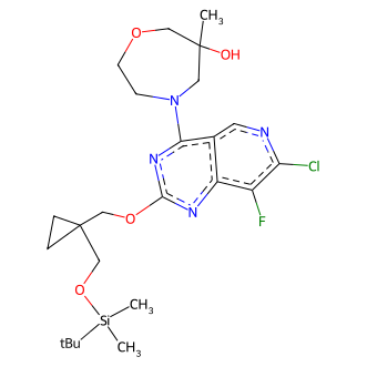 CC1(O)COCCN(c2nc(OCC3(CO[Si](C)(C)C(C)(C)C)CC3)nc3c(F)c(Cl)ncc23)C1